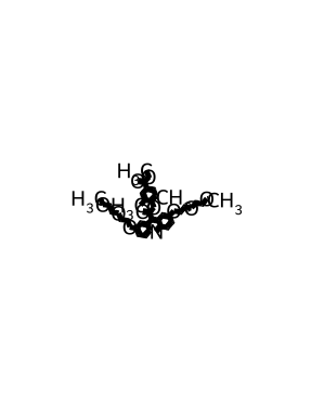 COCCOCCOc1ccc2nc3ccc(OCCOCCOC)cc3c(C(=O)Oc3c(C)cc(C(=O)OC)cc3C)c2c1